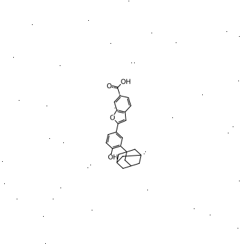 O=C(O)c1ccc2cc(-c3ccc(O)c(C45CC6CC(CC(C6)C4)C5)c3)oc2c1